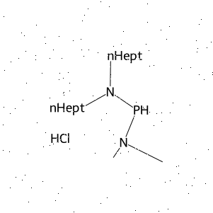 CCCCCCCN(CCCCCCC)PN(C)C.Cl